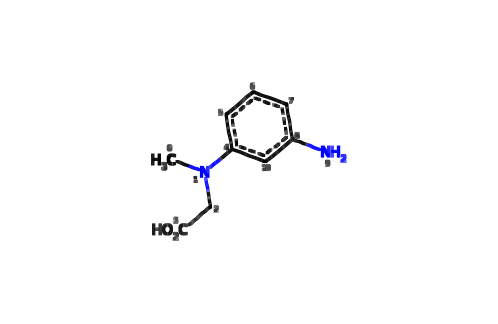 CN(CC(=O)O)c1cccc(N)c1